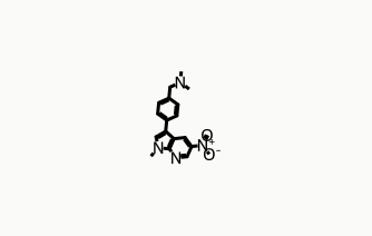 CN(C)Cc1ccc(-c2cn(C)c3ncc([N+](=O)[O-])cc23)cc1